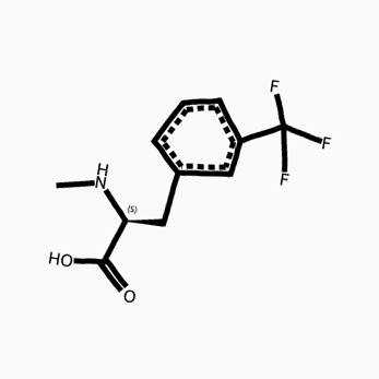 CN[C@@H](Cc1cccc(C(F)(F)F)c1)C(=O)O